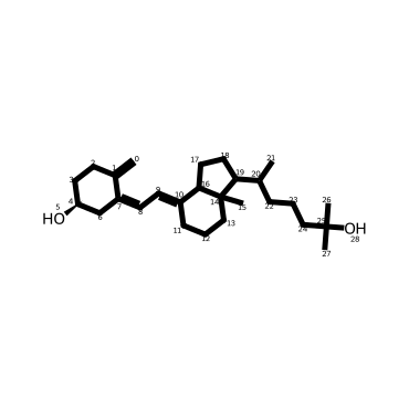 C=C1CC[C@H](O)C/C1=C/C=C1\CCCC2(C)C1CCC2C(C)CCCC(C)(C)O